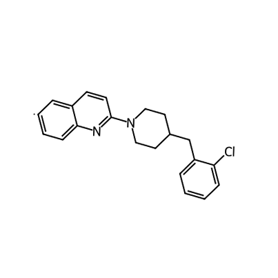 Clc1ccccc1CC1CCN(c2ccc3c[c]ccc3n2)CC1